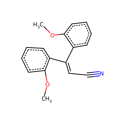 COc1ccccc1C(=CC#N)c1ccccc1OC